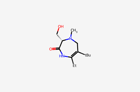 CCC1=C(C(C)(C)C)CN(C)[C@@H](CO)C(=O)N1